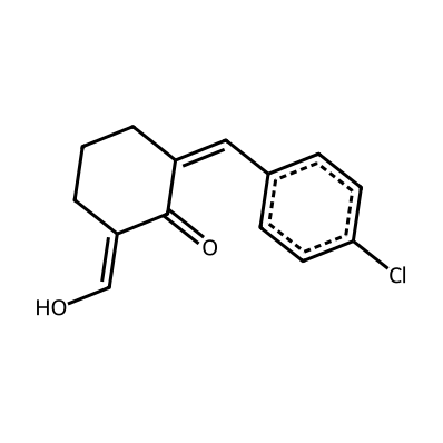 O=C1C(=CO)CCCC1=Cc1ccc(Cl)cc1